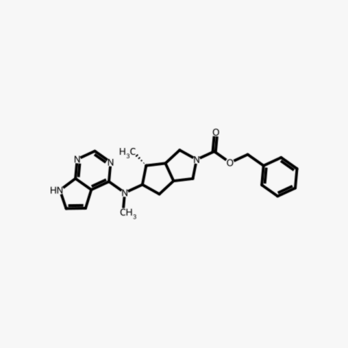 C[C@@H]1C2CN(C(=O)OCc3ccccc3)CC2CC1N(C)c1ncnc2[nH]ccc12